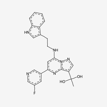 CC(O)(O)c1cnn2c(NCCc3c[nH]c4ccccc34)cc(-c3cncc(F)c3)nc12